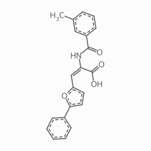 Cc1cccc(C(=O)NC(=Cc2ccc(-c3ccccc3)o2)C(=O)O)c1